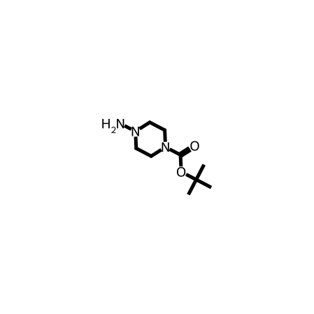 CC(C)(C)OC(=O)N1CCN(N)CC1